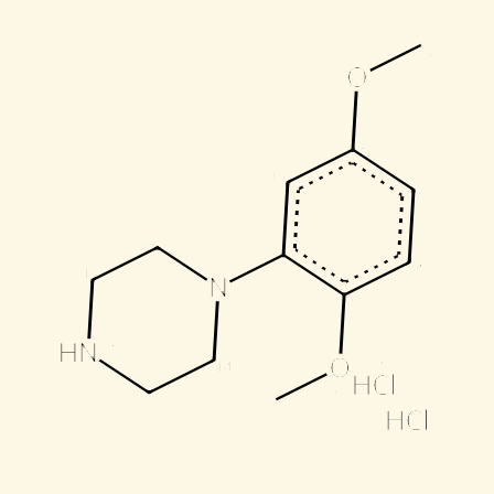 COc1ccc(OC)c(N2CCNCC2)c1.Cl.Cl